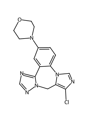 Clc1ncn2c1Cn1ncnc1-c1cc(N3CCOCC3)ccc1-2